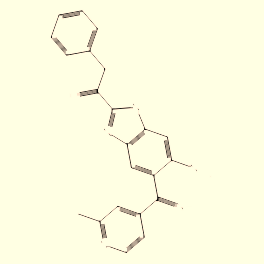 Cc1cc(C(=N)c2cc3nc(C(=O)Cc4ccccc4)[nH]c3cc2N)ccn1